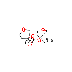 O=C(OC1(C(F)(F)F)CCOCC1)OC1(C(F)(F)F)CCOCC1